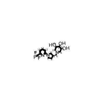 O[C@H]1[C@H](O)CN(C[C@H]2CCN(c3cccc(C(F)(F)F)n3)C2)C[C@@H]1O